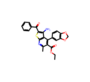 CCOC(=O)c1c(C)nc2sc(C(=O)c3ccccc3)c(N)c2c1-c1ccc2c(c1)OCO2